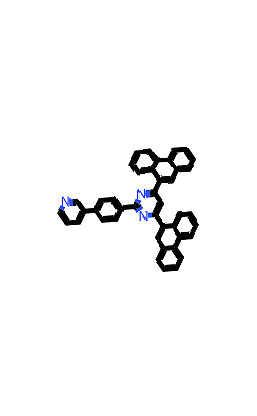 c1cncc(-c2ccc(-c3nc(-c4cc5ccccc5c5ccccc45)cc(-c4cc5ccccc5c5ccccc45)n3)cc2)c1